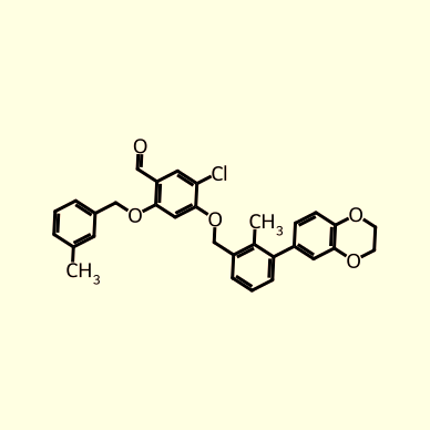 Cc1cccc(COc2cc(OCc3cccc(-c4ccc5c(c4)OCCO5)c3C)c(Cl)cc2C=O)c1